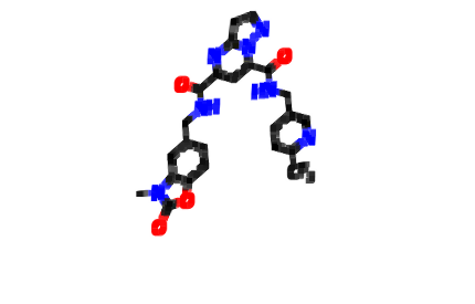 Cn1c(=O)oc2ccc(CNC(=O)c3cc(C(=O)NCc4ccc(C(F)(F)F)nc4)n4nccc4n3)cc21